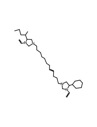 C=CN1CN(CCCCCCC/C=C/CCCN2CC(C3CCCCC3)N(C=C)C2)CC1C(C)CCC